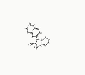 O=c1[nH]c2ccccc2n1-c1ccc2cnccc2c1